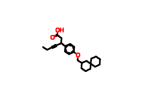 CCC#CC(CC(=O)O)c1ccc(OCC2CCCC3(CCCCC3)C2)cc1